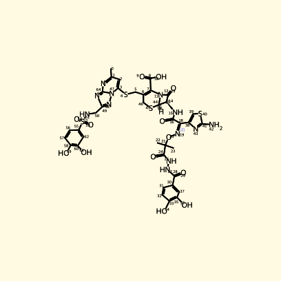 Cc1cc(SCC2=C(C(=O)O)N3C(=O)[C@@H](NC(=O)/C(=N\OC(C)(C)C(=O)NNC(=O)c4ccc(O)c(O)c4)c4csc(N)n4)[C@H]3SC2)n2nc(CNS(=O)(=O)c3ccc(O)c(O)c3)nc2n1